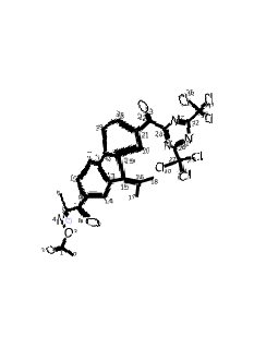 CC(=O)O/N=C(/C)C(=O)c1ccc2c(c1)C(=C(C)C)c1cc(C(=O)c3nc(C(Cl)(Cl)Cl)nc(C(Cl)(Cl)Cl)n3)ccc1-2